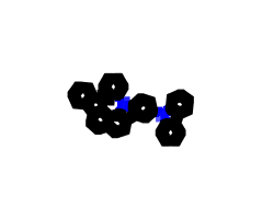 CC1(C)c2ccccc2-c2ccc3ccc4c5cc(-n6c7ccccc7c7ccccc76)ccc5n(-c5ccccc5)c4c3c21